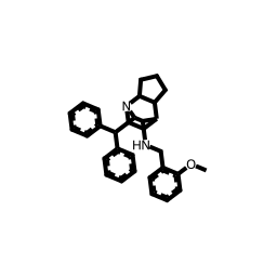 COc1ccccc1CNC1C2CCN(C3CCCC23)C1C(c1ccccc1)c1ccccc1